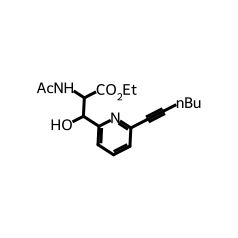 CCCCC#Cc1cccc(C(O)C(NC(C)=O)C(=O)OCC)n1